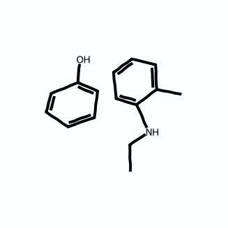 CCNc1ccccc1C.Oc1ccccc1